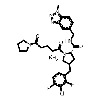 Cn1nnc2cc(CNC(=O)[C@@H]3CC(Cc4ccc(F)c(Cl)c4F)CN3C(=O)[C@H](N)CCC(=O)N3CCCC3)ccc21